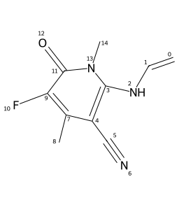 C=CNc1c(C#N)c(C)c(F)c(=O)n1C